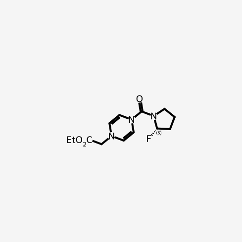 CCOC(=O)CN1C=CN(C(=O)N2CCC[C@@H]2F)C=C1